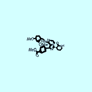 COC(=O)c1ccc(-c2nc([C@@H]3CCCNC3=O)n3ccnc(NCc4ccc(OC)cc4OC)c23)cc1